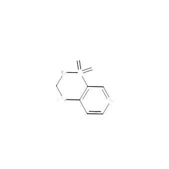 O=S1(=O)NCNc2ccncc21